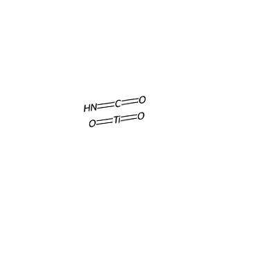 N=C=O.[O]=[Ti]=[O]